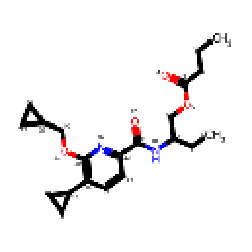 CCCC(=O)OCC(CC)NC(=O)c1ccc(C2CC2)c(OCC2CC2)n1